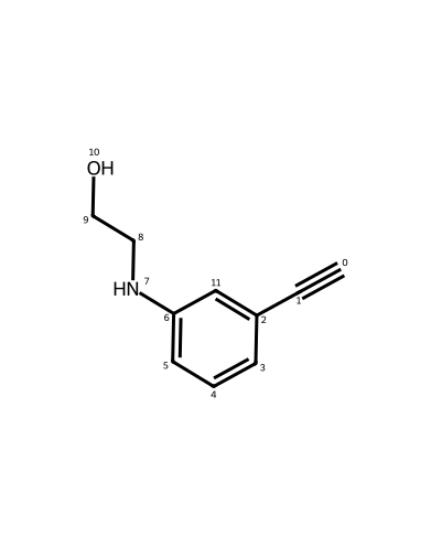 C#Cc1cccc(NCCO)c1